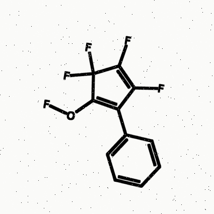 FOC1=C(c2ccccc2)C(F)=C(F)C1(F)F